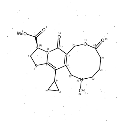 COC(=O)[C@@H]1CSc2c(C3CC3)c3c(c(=O)n21)COC(=O)CCCN(C)C3